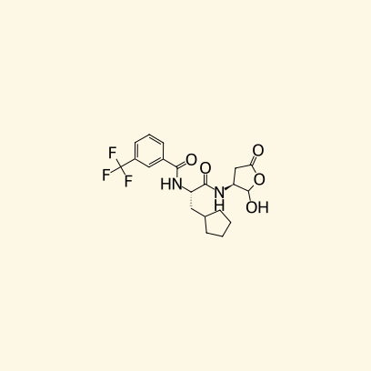 O=C1C[C@H](NC(=O)[C@H](CC2CCCC2)NC(=O)c2cccc(C(F)(F)F)c2)C(O)O1